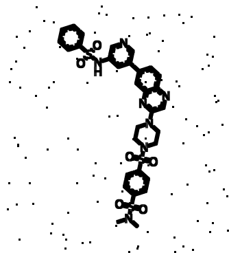 CN(C)S(=O)(=O)c1ccc(S(=O)(=O)N2CCN(c3cnc4ccc(-c5cncc(NS(=O)(=O)c6ccccc6)c5)cc4n3)CC2)cc1